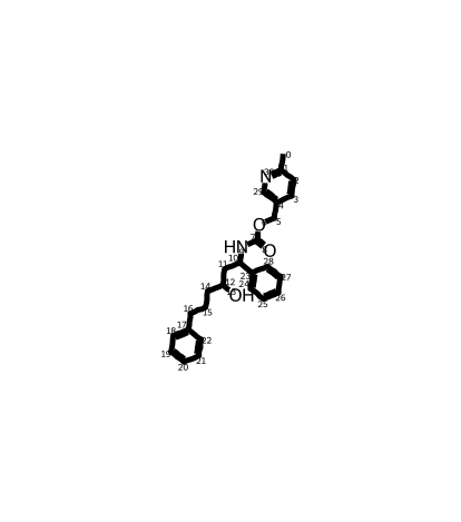 Cc1ccc(COC(=O)NC(CC(O)CCCc2ccccc2)c2ccccc2)cn1